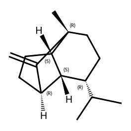 C=C1[C@@H]2CC[C@H]3[C@@H]2[C@@H](C(C)C)CC[C@@]13C